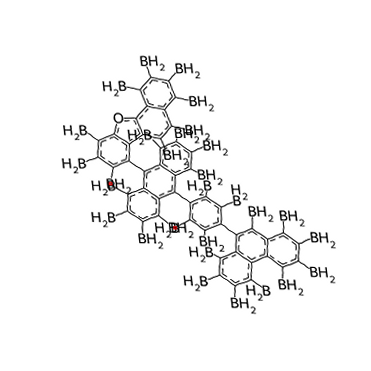 Bc1c(B)c(-c2c(B)c3c(B)c(B)c(B)c(B)c3c3c(B)c(B)c(B)c(B)c23)c(B)c(B)c1-c1c2c(B)c(B)c(B)c(B)c2c(-c2c(B)c(B)c(B)c3oc4c5c(B)c(B)c(B)c(B)c5c(B)c(B)c4c23)c2c(B)c(B)c(B)c(B)c12